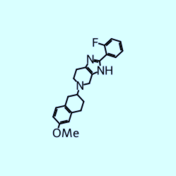 COc1ccc2c(c1)CCC(N1CCc3nc(-c4ccccc4F)[nH]c3C1)C2